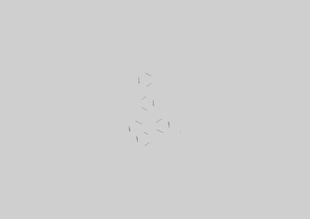 Clc1ccc(C(c2ccc(-c3ccccc3)cc2)c2cccc3ccccc23)c(Cl)c1